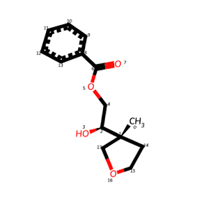 C[C@@]1([C@@H](O)COC(=O)c2ccccc2)CCOC1